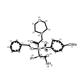 COc1ccc(S(=O)(=O)[N+](OCc2ccccc2)(C(=O)CN2CCOCC2)[C@@H](C(N)=O)C(C)C)cc1